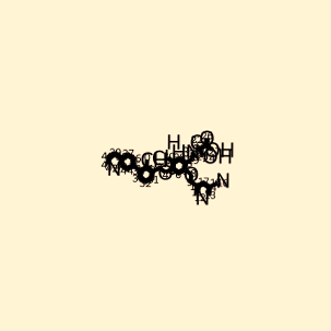 Cc1c(COc2cc(OCc3cncc(C#N)c3)c(CN[C@](C)(CO)C(=O)O)cc2Cl)cccc1-c1ccc2cccnc2c1